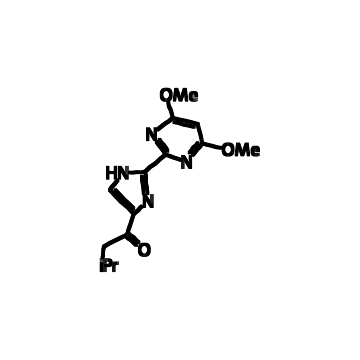 COc1cc(OC)nc(-c2nc(C(=O)CC(C)C)c[nH]2)n1